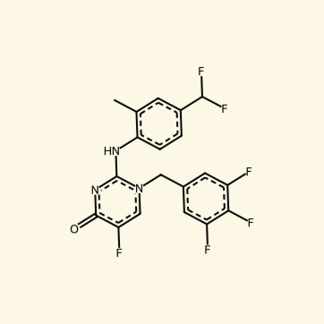 Cc1cc(C(F)F)ccc1Nc1nc(=O)c(F)cn1Cc1cc(F)c(F)c(F)c1